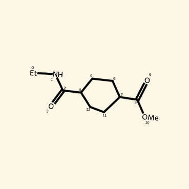 CCNC(=O)C1CCC(C(=O)OC)CC1